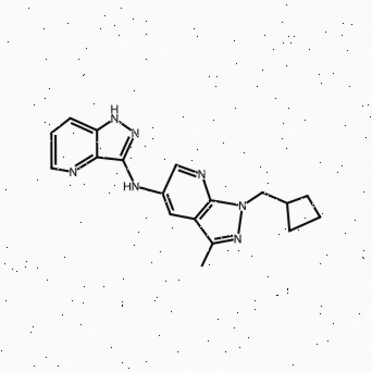 Cc1nn(CC2CCC2)c2ncc(Nc3n[nH]c4cccnc34)cc12